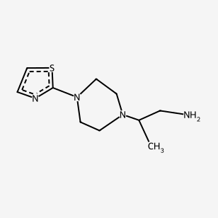 CC(CN)N1CCN(c2nccs2)CC1